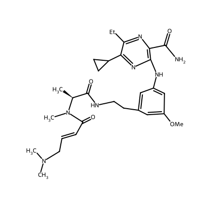 CCc1nc(C(N)=O)c(Nc2cc(CCNC(=O)[C@H](C)N(C)C(=O)/C=C/CN(C)C)cc(OC)c2)nc1C1CC1